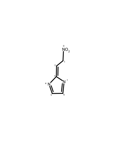 O=[N+]([O-])CC=C1N=CC=N1